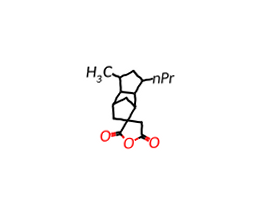 CCCC1CC(C)C2C3CC(C12)C1(CC(=O)OC1=O)C3